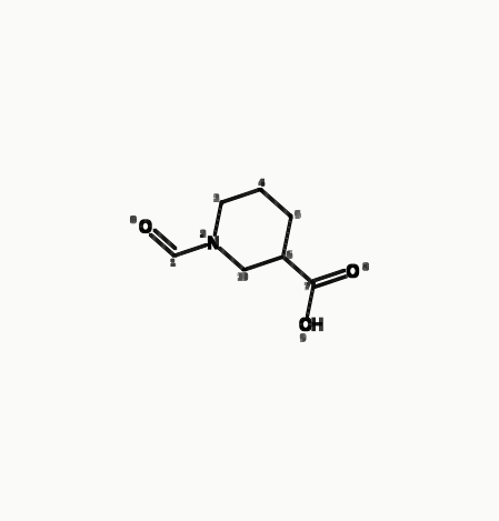 O=CN1CCCC(C(=O)O)C1